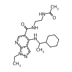 CCn1ncc2c(NC(C)C3CCCCC3)c(C(=O)NCCNC(C)=O)cnc21